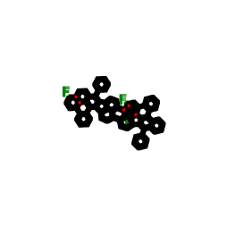 Fc1ccc(-c2ccccc2-c2c3c(c(-c4ccccc4)c4ccccc24)-c2ccc4c5ccc6c7c(ccc(c8ccc-3c2c84)c75)-c2c-6c(-c3ccccc3-c3cc(F)cc(F)c3)c3ccccc3c2-c2ccccc2)cc1